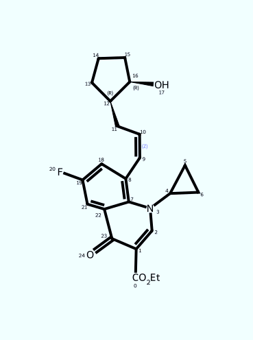 CCOC(=O)c1cn(C2CC2)c2c(/C=C\C[C@H]3CCC[C@H]3O)cc(F)cc2c1=O